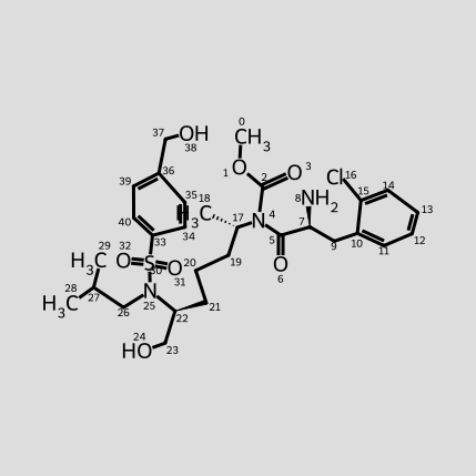 COC(=O)N(C(=O)[C@@H](N)Cc1ccccc1Cl)[C@@H](C)CCC[C@@H](CO)N(CC(C)C)S(=O)(=O)c1ccc(CO)cc1